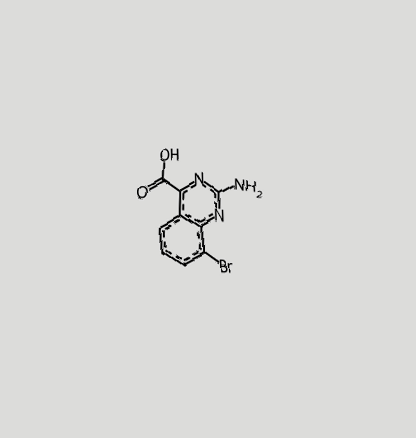 Nc1nc(C(=O)O)c2cccc(Br)c2n1